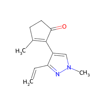 C=Cc1nn(C)cc1C1=C(C)CCC1=O